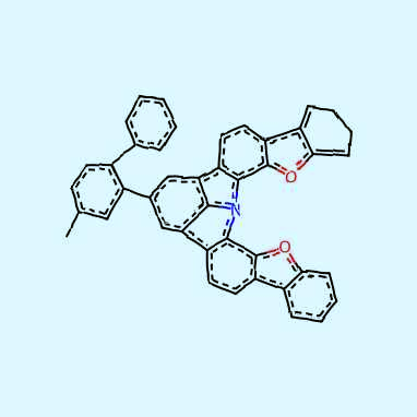 Cc1ccc(-c2ccccc2)c(-c2cc3c4ccc5c6c(oc5c4n4c3c(c2)c2ccc3c5ccccc5oc3c24)=CCCC=6)c1